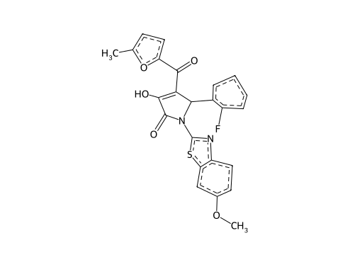 COc1ccc2nc(N3C(=O)C(O)=C(C(=O)c4ccc(C)o4)C3c3ccccc3F)sc2c1